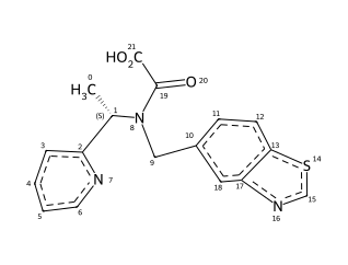 C[C@@H](c1ccccn1)N(Cc1ccc2scnc2c1)C(=O)C(=O)O